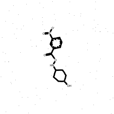 O=C(ONC1CCC(O)CC1)c1cccc([N+](=O)[O-])c1